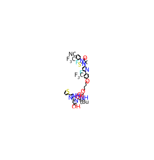 CC(C)(C)[C@H](NC(=O)COCCCCOc1ccc(-c2ncc(N3C(=S)N(c4ccc(C#N)c(C(F)(F)F)c4F)C(=O)C3(C)C)cc2F)c(C(F)(F)F)c1)C(O)N1C[C@H](O)C[C@H]1c1nc(-c2cccs2)c[nH]1